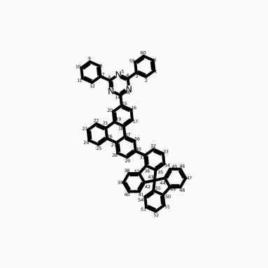 c1ccc(-c2nc(-c3ccccc3)nc(-c3ccc4c(c3)c3ccccc3c3ccc(-c5cccc6c5-c5ccccc5C65c6ccccc6-c6ccccc65)cc34)n2)cc1